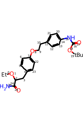 CCOC(Cc1ccc(OCCc2ccc(NC(=O)OC(C)(C)C)cc2)cc1)C(N)=O